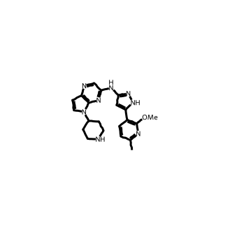 COc1nc(C)ccc1-c1cc(Nc2cnc3ccn(C4CCNCC4)c3n2)n[nH]1